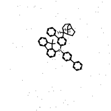 CC1(C)c2ccccc2-c2cccc(N(c3ccc(-c4ccccc4)cc3)c3ccc([C@@H]4CCC5C[C@H]6C5CCC64)c(-c4ccccc4)c3)c21